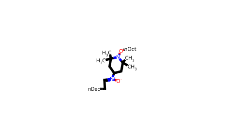 CCCCCCCCCCCC=[N+]([O-])C1CC(C)(C)N(OCCCCCCCC)C(C)(C)C1